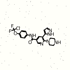 O=C(Nc1ccc(OC(F)(F)Cl)cc1)c1cnc(N2CCNCC2)c(-c2ccn[nH]2)c1